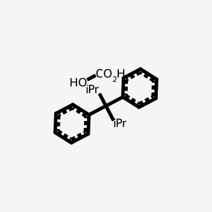 CC(C)C(c1ccccc1)(c1ccccc1)C(C)C.O=C(O)O